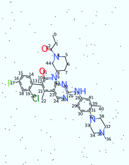 CCC(=O)N1CCCC(n2c(=O)c(-c3ccc(F)cc3Cl)c(C)c3cnc(Nc4ccc(N5CCN(C)CC5)c(C)c4)nc32)C1